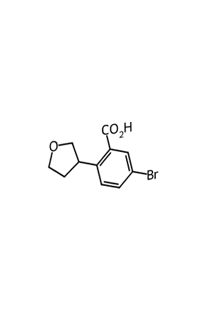 O=C(O)c1cc(Br)ccc1C1CCOC1